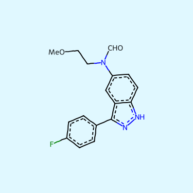 COCCN(C=O)c1ccc2[nH]nc(-c3ccc(F)cc3)c2c1